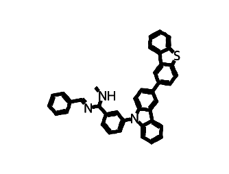 CNC(/N=C/c1ccccc1)c1cccc(-n2c3ccccc3c3cc(-c4ccc5sc6ccccc6c5c4)ccc32)c1